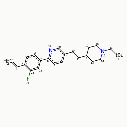 C=Cc1ccc(-c2ccc(CCC3CCN(CC(C)(C)C)CC3)cn2)cc1F